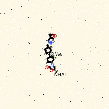 COC1(F)CC(N2C[C@H](CNC(C)=O)OC2=O)=CC=C1c1ccc(CNCc2ccoc2)cc1